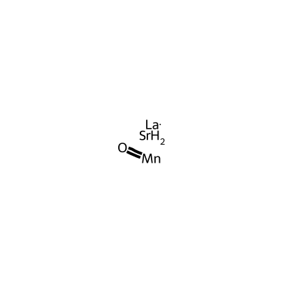 [La].[O]=[Mn].[SrH2]